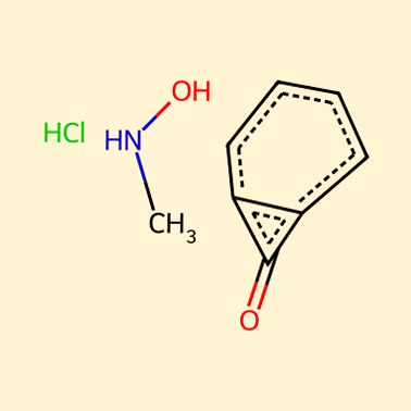 CNO.Cl.O=c1c2ccccc12